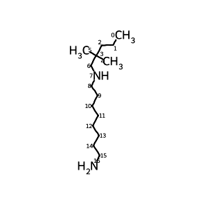 CCCC(C)(C)CNCCCCCCCCN